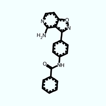 Nc1nccc2onc(-c3ccc(NC(=O)c4ccccc4)cc3)c12